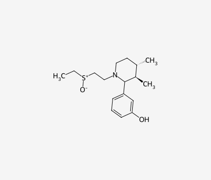 CC[S+]([O-])CCN1CC[C@H](C)[C@@H](C)C1c1cccc(O)c1